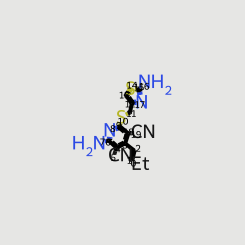 CC/C=C/c1c(C#N)c(N)nc(SCc2csc(N)n2)c1C#N